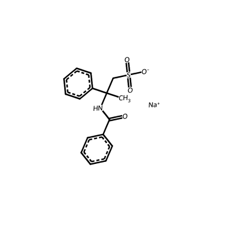 CC(CS(=O)(=O)[O-])(NC(=O)c1ccccc1)c1ccccc1.[Na+]